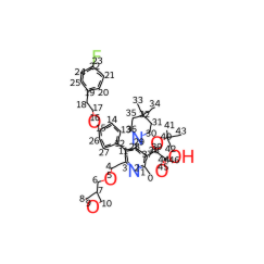 Cc1nc(COCC2COC2)c(-c2ccc(OCCc3ccc(F)cc3)cc2)c(N2CCC(C)(C)CC2)c1[C@H](OC(C)(C)C)C(=O)O